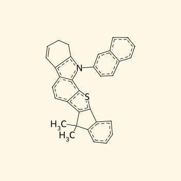 CC1(C)c2ccccc2-c2sc3c(ccc4c5c(n(-c6ccc7ccccc7c6)c43)CCC=C5)c21